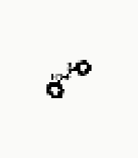 [C](Nc1ccccc1)Nc1ccccc1